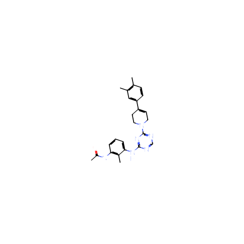 CC(=O)Nc1cccc(Nc2ncnc(N3CC=C(c4ccc(C)c(C)c4)CC3)n2)c1C